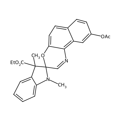 CCOC(=O)C1(C)c2ccccc2N(C)C12C=Nc1c(ccc3ccc(OC(C)=O)cc13)O2